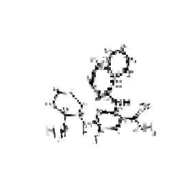 NC(=O)c1cc(F)c(NC2CCCCC2N)nc1Nc1cncc2ccccc12